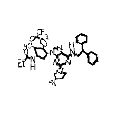 CCC(=O)N[C@H]1C[C@@H](n2cnc3c(NCC(c4ccccc4)c4ccccc4)nc(N4CC[C@@H](N(C)C)C4)nc32)[C@H](OC(=O)C(F)(F)F)[C@@H]1O